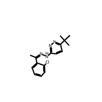 CC(=NNc1ccc(C(C)(C)C)nn1)c1ccccc1Cl